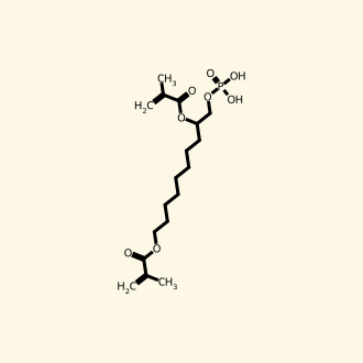 C=C(C)C(=O)OCCCCCCCCC(COP(=O)(O)O)OC(=O)C(=C)C